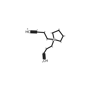 C#CCC[Si]1(CCC#C)CCCC1